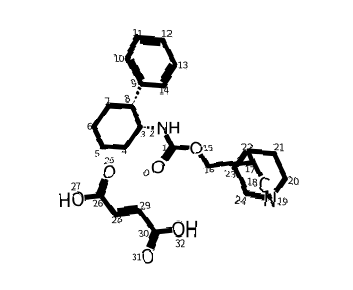 O=C(N[C@@H]1CCCC[C@@H]1c1ccccc1)OCC1CN2CCC1CC2.O=C(O)C=CC(=O)O